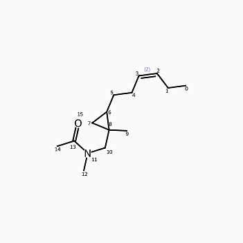 CC/C=C\CCC1CC1(C)CN(C)C(C)=O